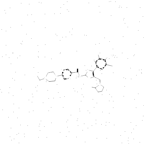 COc1c(F)cc(C2=C(CN3CCCC3C)SC(NC(=O)c3cnc(N4CCN(CC(=O)O)CC4)cn3)N2)cc1C(F)(F)F